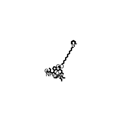 CCC[N+](CCC)(CCC)CC(C)CC(CC1CCCC1C(CC(CC)C(N)=O)C(=O)O)C(=O)OCCCCCCCCCCCC[n+]1ccccc1